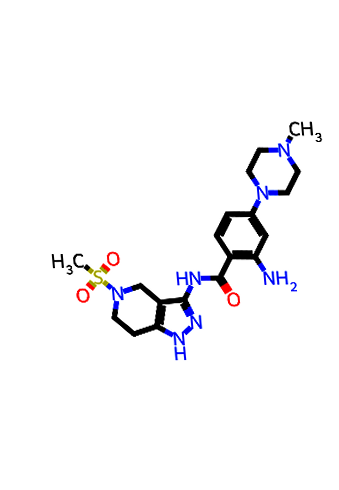 CN1CCN(c2ccc(C(=O)Nc3n[nH]c4c3CN(S(C)(=O)=O)CC4)c(N)c2)CC1